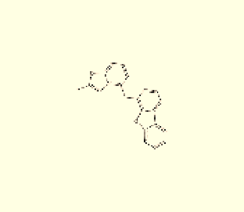 Cc1cc2c(Cc3cccc4c3oc3ccccc34)cccc2o1